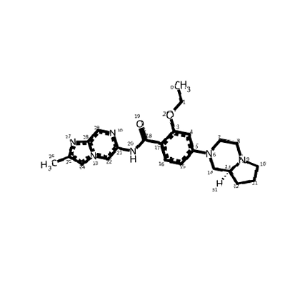 CCOc1cc(N2CCN3CCC[C@H]3C2)ccc1C(=O)Nc1cn2cc(C)nc2cn1